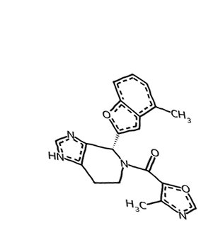 Cc1ncoc1C(=O)N1CCc2[nH]cnc2[C@@H]1c1cc2c(C)cccc2o1